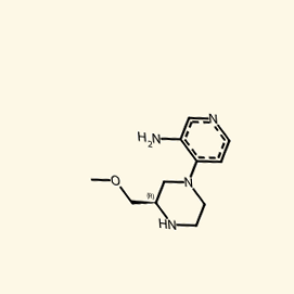 COC[C@H]1CN(c2ccncc2N)CCN1